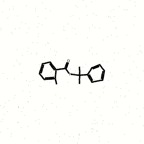 Cc1ccccc1C(=O)[I+]C(C)(C)c1ccccc1